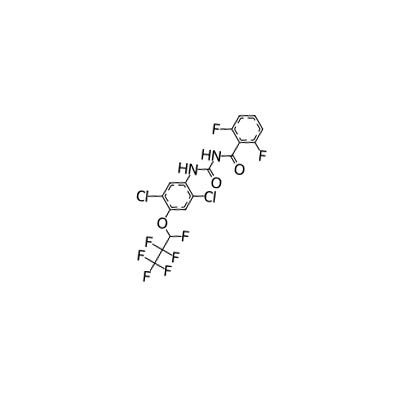 O=C(NC(=O)c1c(F)cccc1F)Nc1cc(Cl)c(OC(F)C(F)(F)C(F)(F)F)cc1Cl